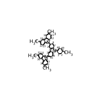 Cc1ccc(-n2c3ccc(-n4c5ccc(C)cc5c5cc(C)ccc54)cc3c3cc(-n4c5ccc(C)cc5c5cc(C)ccc54)ccc32)cc1